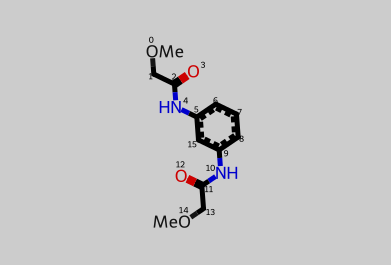 COCC(=O)Nc1cccc(NC(=O)COC)c1